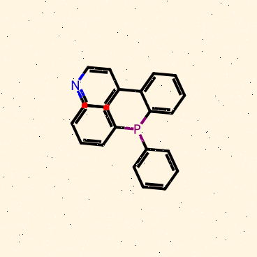 c1ccc(P(c2ccccc2)c2ccccc2-c2ccncc2)cc1